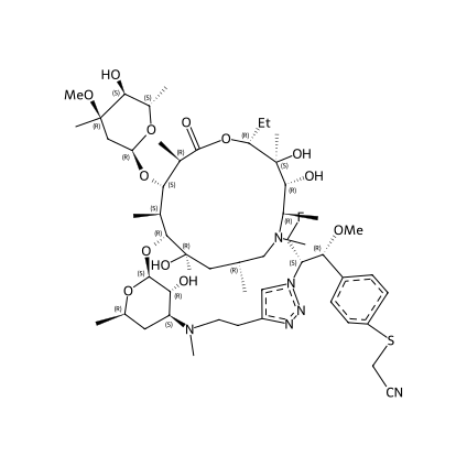 CC[C@H]1OC(=O)[C@H](C)[C@@H](O[C@H]2C[C@@](C)(OC)[C@@H](O)[C@H](C)O2)[C@H](C)[C@@H](O[C@@H]2O[C@H](C)C[C@H](N(C)CCc3cn([C@H](CF)[C@H](OC)c4ccc(SCC#N)cc4)nn3)[C@H]2O)[C@](C)(O)C[C@@H](C)CN(C)[C@H](C)[C@@H](O)[C@]1(C)O